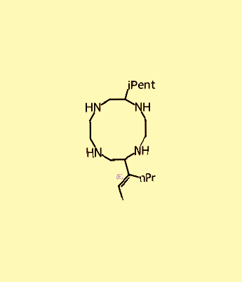 C/C=C(\CCC)C1CNCCNCC(C(C)CCC)NCCN1